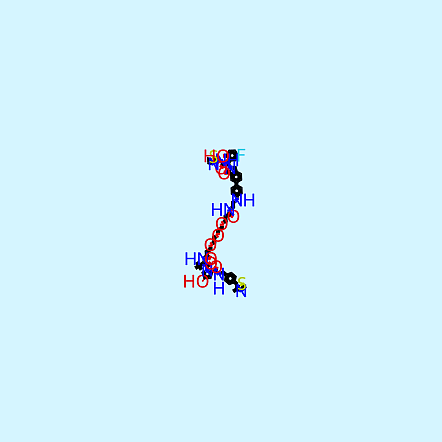 Cc1ncsc1-c1ccc(CNC(=O)[C@@H]2C[C@@H](O)CN2C(=O)[C@@H](NC(=O)CCOCCOCCOCCC(=O)NCCNc2ccc(-c3ccc4c(c3)C(=O)N(C(C(=O)Nc3nccs3)c3cc(F)ccc3O)C4)cc2)C(C)(C)C)cc1